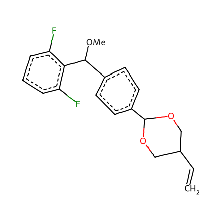 C=CC1COC(c2ccc(C(OC)c3c(F)cccc3F)cc2)OC1